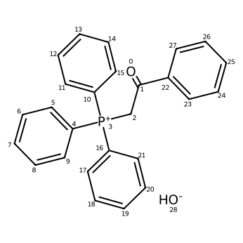 O=C(C[P+](c1ccccc1)(c1ccccc1)c1ccccc1)c1ccccc1.[OH-]